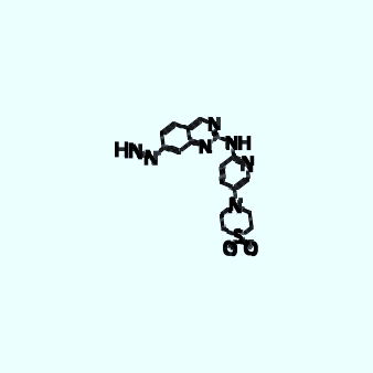 N=Nc1ccc2cnc(Nc3ccc(N4CCS(=O)(=O)CC4)cn3)nc2c1